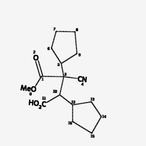 COC(=O)C(C#N)(C1CCCC1)C(C(=O)O)C1CCCC1